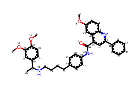 COc1ccc2nc(-c3ccccc3)cc(C(=O)Nc3ccc(CCCCNC(C)c4ccc(OC)c(OC)c4)cc3)c2c1